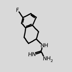 N=C(N)NC1CCc2cc(F)ccc2C1